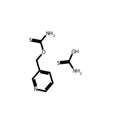 NC(=S)OCc1cccnc1.NC(O)=S